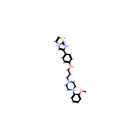 COc1ccccc1N1CCN(CCCOc2ccc(-c3cn4ccsc4n3)cc2)CC1